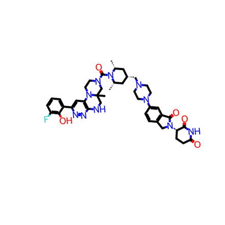 C[C@@H]1C[C@H](CN2CCN(c3ccc4c(c3)C(=O)N([C@H]3CCC(=O)NC3=O)C4)CC2)C[C@H](C)N1C(=O)N1CCN2c3cc(-c4cccc(F)c4O)nnc3NCC2(C)C1